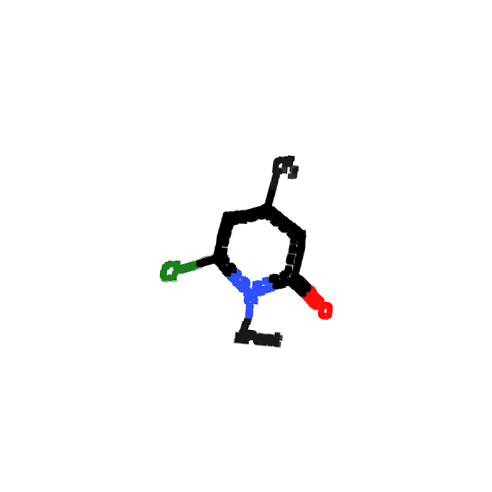 CCCCCn1c(Cl)cc(C(F)(F)F)cc1=O